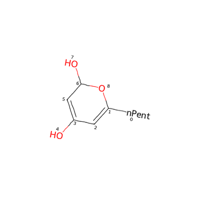 CCCCCC1=CC(O)=CC(O)O1